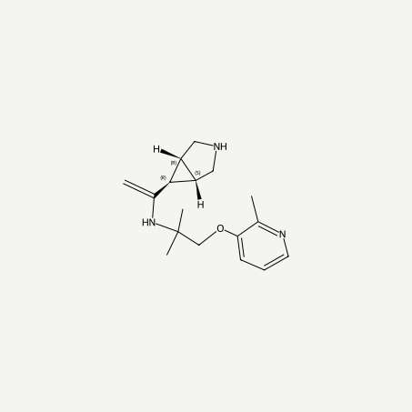 C=C(NC(C)(C)COc1cccnc1C)[C@H]1[C@@H]2CNC[C@@H]21